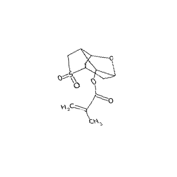 C=C(C)C(=O)OC1C2CC3C(O2)C1CS3(=O)=O